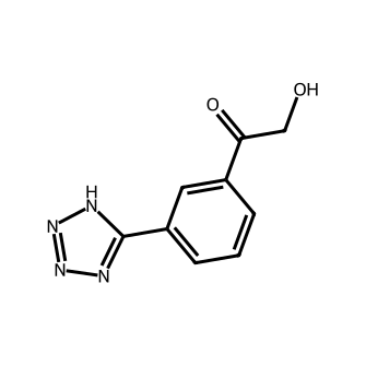 O=C(CO)c1cccc(-c2nnn[nH]2)c1